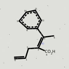 C=CC/C(C(=O)O)=C(/C)c1ccccc1